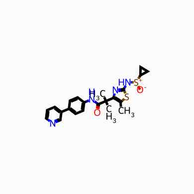 Cc1sc(N[S+]([O-])C2CC2)nc1C(C)(C)C(=O)Nc1ccc(-c2cccnc2)cc1